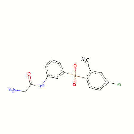 Cc1cc(Cl)ccc1S(=O)(=O)c1cccc(NC(=O)CN)c1